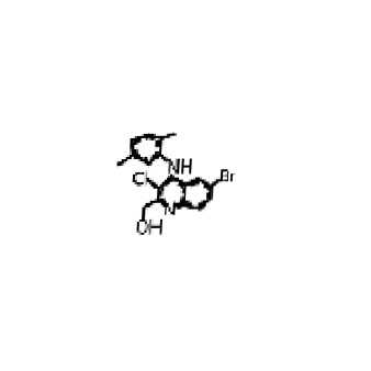 Cc1ccc(C)c(Nc2c(Cl)c(CO)nc3ccc(Br)cc23)c1